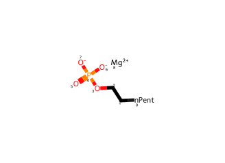 CCCCCCCOP(=O)([O-])[O-].[Mg+2]